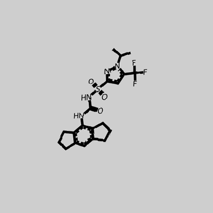 CC(C)n1nc(S(=O)(=O)NC(=O)Nc2c3c(cc4c2CCC4)CCC3)cc1C(F)(F)F